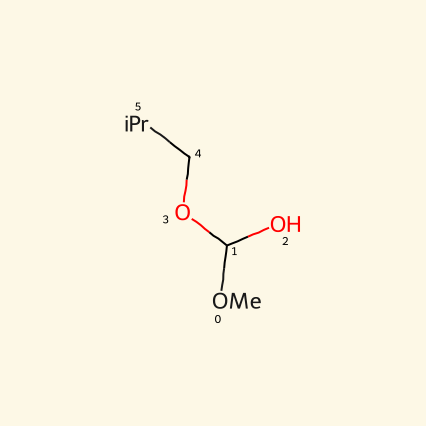 COC(O)OCC(C)C